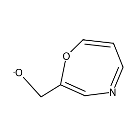 [O]CC1=CN=CC=CO1